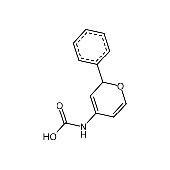 O=C(O)NC1=CC(c2ccccc2)OC=C1